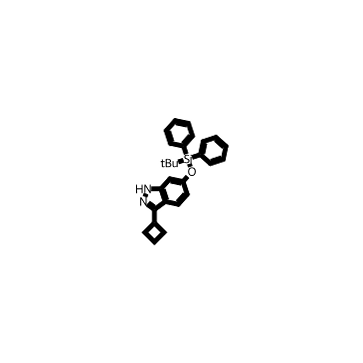 CC(C)(C)[Si](Oc1ccc2c(C3CCC3)n[nH]c2c1)(c1ccccc1)c1ccccc1